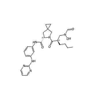 CCCC[C@H](CN(O)C=O)C(=O)N1CC2(CC2)C[C@H]1C(=O)Nc1cccc(Nc2ncccn2)c1